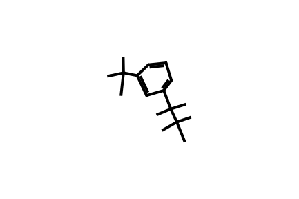 CC(C)(C)c1cccc(C(C)(C)C(C)(C)C)c1